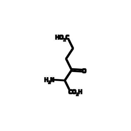 NC(C(=O)O)C(=O)CCC(=O)O